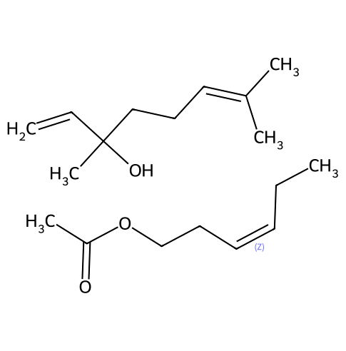 C=CC(C)(O)CCC=C(C)C.CC/C=C\CCOC(C)=O